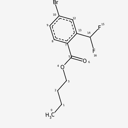 CCCCOC(=O)c1ccc(Br)cc1C(F)F